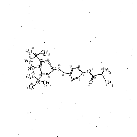 CC(C)C(=O)Oc1ccc(CSc2cc(C(C)(C)C)c(O)c(C(C)(C)C)c2)cc1